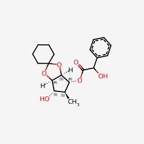 C[C@H]1[C@H](O)[C@H]2OC3(CCCCC3)O[C@H]2[C@@H]1OC(=O)C(O)c1ccccc1